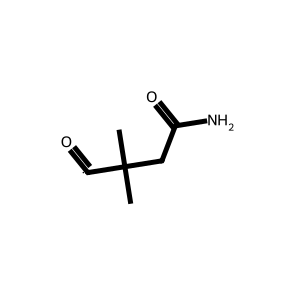 CC(C)([C]=O)CC(N)=O